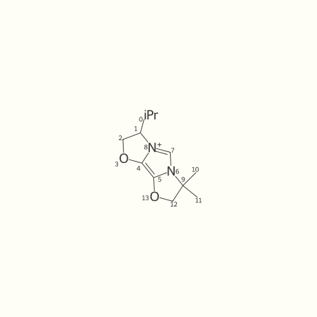 CC(C)C1COc2c3n(c[n+]21)C(C)(C)CO3